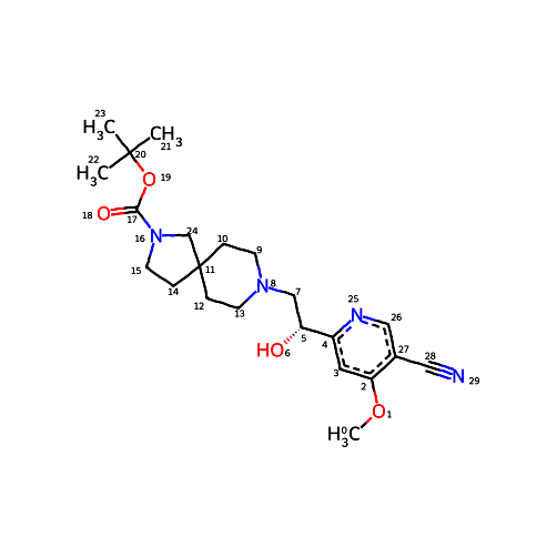 COc1cc([C@H](O)CN2CCC3(CC2)CCN(C(=O)OC(C)(C)C)C3)ncc1C#N